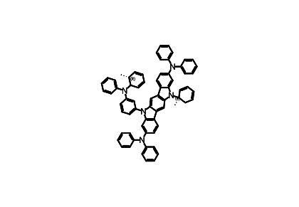 C[C@@H]1C=CC=CC1N(c1ccccc1)c1cccc(-n2c3cc(N(c4ccccc4)c4ccccc4)ccc3c3cc4c(cc32)c2ccc(N(c3ccccc3)c3ccccc3)cc2n4[C@@]2(C)C=CC=CC2)c1